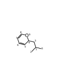 CC(C)CC1C=CC=CO1